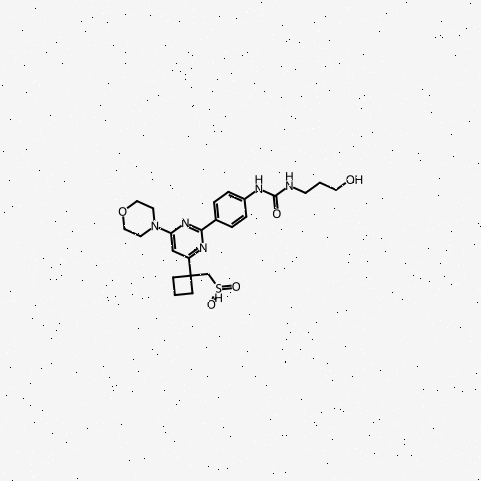 O=C(NCCCO)Nc1ccc(-c2nc(N3CCOCC3)cc(C3(C[SH](=O)=O)CCC3)n2)cc1